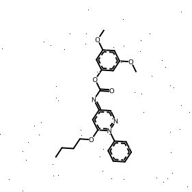 CCCCOc1cc(=NC(=O)Oc2cc(OC)cc(OC)c2)cnn1-c1ccccc1